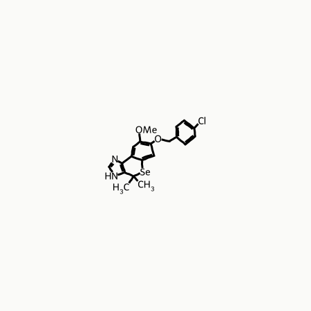 COc1cc2c(cc1OCc1ccc(Cl)cc1)[Se]C(C)(C)c1[nH]cnc1-2